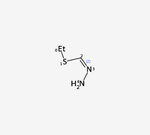 CCS/C=N\N